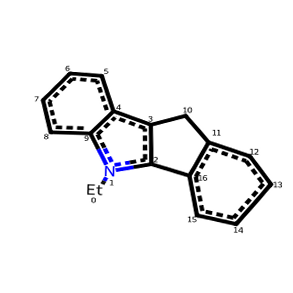 CCn1c2c(c3ccccc31)Cc1ccccc1-2